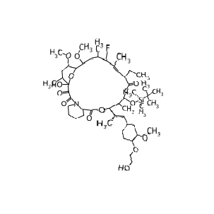 CCC1/C=C(\C)C(F)C(C)CC(OC)C2OC(O)(C(=O)C(=O)N3CCCCC3C(=O)OC(C(C)=CC3CCC(OCCO)C(OC)C3)C(C)C(O[Si](C)(C)C(C)(C)C)CC1=O)C(C)CC2OC